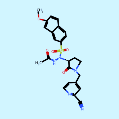 COc1ccc2ccc(S(=O)(=O)N(NC(C)=O)[C@H]3CCN(Cc4ccnc(C#N)c4)C3=O)cc2c1